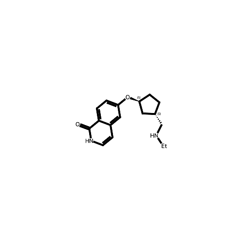 CCNC[C@H]1CC[C@H](Oc2ccc3c(=O)[nH]ccc3c2)C1